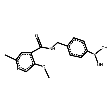 COc1cnc(C)cc1C(=O)NCc1ccc(B(O)O)cc1